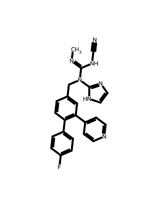 CN=C(NC#N)N(Cc1ccc(-c2ccc(F)cc2)c(-c2ccncc2)c1)c1ncc[nH]1